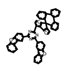 c1ccc2c(c1)-c1ccccc1C1(c3ccccc3-2)c2ccccc2-c2c(-c3nc(-c4ccc5oc6ccccc6c5c4)nc(-c4ccc5oc6ccccc6c5c4)n3)cccc21